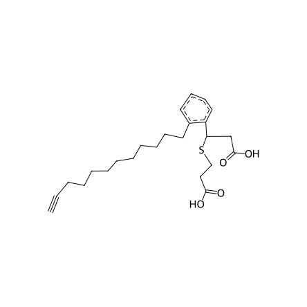 C#CCCCCCCCCCCc1ccccc1C(CC(=O)O)SCCC(=O)O